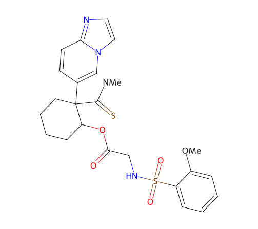 CNC(=S)C1(c2ccc3nccn3c2)CCCCC1OC(=O)CNS(=O)(=O)c1ccccc1OC